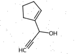 C#CC(O)C1=CCCC1